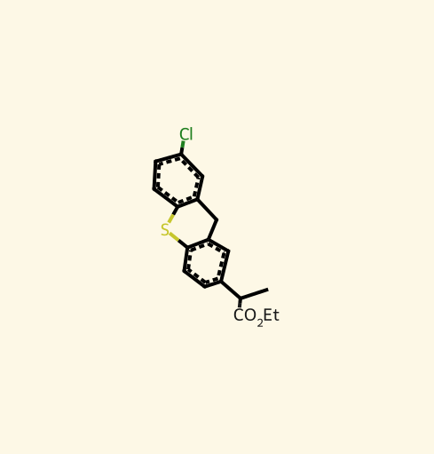 CCOC(=O)C(C)c1ccc2c(c1)Cc1cc(Cl)ccc1S2